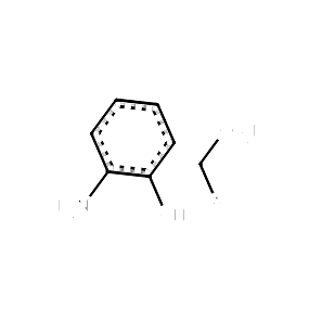 CC(=O)CC(=O)O.Nc1ccccc1O